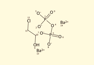 O=P([O-])([O-])OP(=O)([O-])[O-].OCCCl.[Ba+2].[Ba+2]